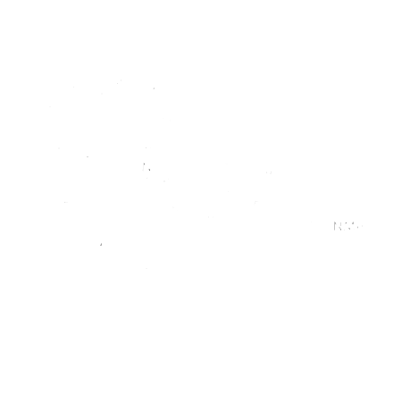 CNc1ccc(-c2ccc(N(c3cccc(-c4ccccc4)c3)c3cccc4ccccc34)cc2)cc1